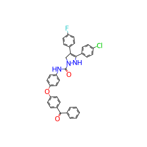 O=C(c1ccccc1)c1ccc(Oc2ccc(NC(=O)N3CC(c4ccc(F)cc4)=C(c4ccc(Cl)cc4)N3)cc2)cc1